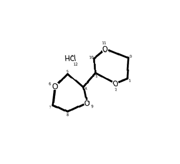 C1COC(C2COCCO2)CO1.Cl